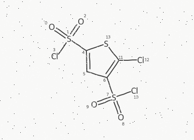 O=S(=O)(Cl)c1cc(S(=O)(=O)Cl)c(Cl)s1